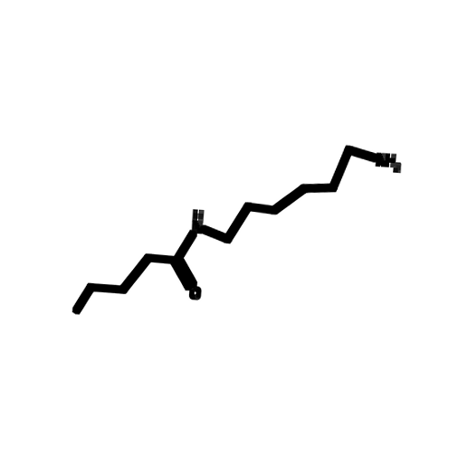 CCCCC(=O)NCCCCCCN